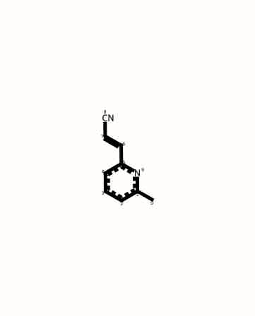 Cc1cccc(/C=C/C#N)n1